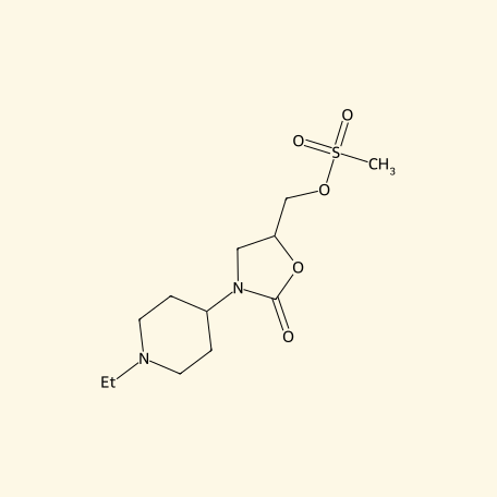 CCN1CCC(N2CC(COS(C)(=O)=O)OC2=O)CC1